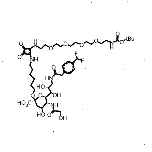 CC(C)(C)OC(=O)NCCOCCOCCOCCOCCNc1c(NCCCCCCO[C@]2(C(=O)O)C[C@H](O)[C@@H](NC(=O)CO)[C@H]([C@H](O)[C@H](O)CNC(=O)Cc3ccc(C(F)F)cc3)O2)c(=O)c1=O